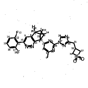 Cc1cc([C@]23CC[C@@H](c4cc(-c5c(F)cccc5F)nnc42)C3(C)C)nc(-n2cnc(CC3CS(=O)(=O)C3)n2)n1